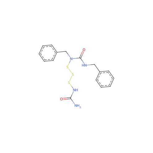 NC(=O)NSSSN(Cc1ccccc1)C(=O)NCc1ccccc1